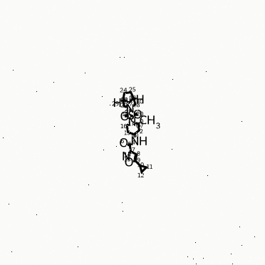 C[C@H]1C[C@@H](NC(=O)c2cc(C3CC3)on2)CCN1S(=O)(=O)N1C[C@@H]2CC[C@@H](C2)C1